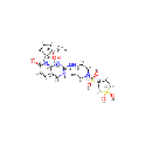 C[C@@]1(O)CCC[C@H]1n1c(=O)ccc2cnc(NC3CCN(S(=O)(=O)C4CCS(=O)(=O)C4)CC3)nc21